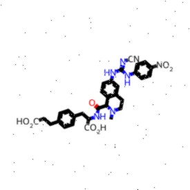 CN1CCc2cc(NC(=NC#N)Nc3ccc([N+](=O)[O-])cc3)ccc2C1C(=O)NC(Cc1ccc(CCC(=O)O)cc1)C(=O)O